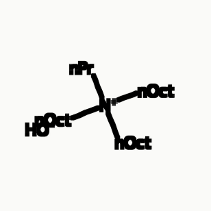 CCCCCCCC[N+](CCC)(CCCCCCCC)CCCCCCCC.[OH-]